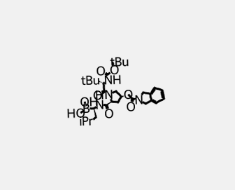 CC(C)C[C@H](NC(=O)[C@@H]1C[C@@H](OC(=O)N2Cc3ccccc3C2)CN1C(=O)[C@@H](NC(=O)OC(C)(C)C)C(C)(C)C)B(O)O